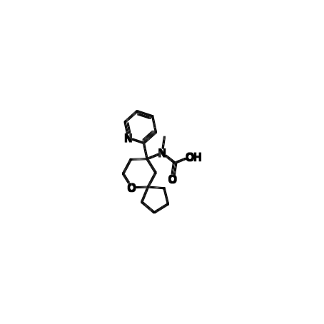 CN(C(=O)O)C1(c2ccccn2)CCOC2(CCCC2)C1